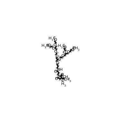 COCCOCC(COCCOCC(COCCCNC(=O)CCN1C(=O)CC(C(C)(C)C)C1=O)OCCOCC(COCCOC)OCCOC)OCCOC